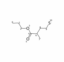 CCCOC(=O)C(C)CC[S]